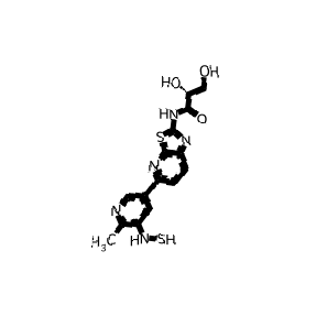 Cc1ncc(-c2ccc3nc(NC(=O)[C@H](O)CO)sc3n2)cc1NS